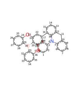 c1ccc(N2c3ccccc3Cc3cccc(-c4cc5c6c(c4)Oc4ccccc4B6c4ccccc4O5)c32)cc1